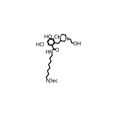 CCCCCCCCCCCCCCCCCCNC(=O)c1ccccc1CC1CN(CCO)CCN1C(=O)O.Cl